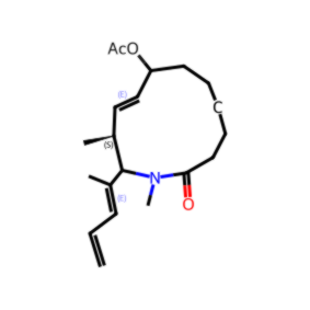 C=C/C=C(\C)C1[C@@H](C)/C=C/C(OC(C)=O)CCCCCC(=O)N1C